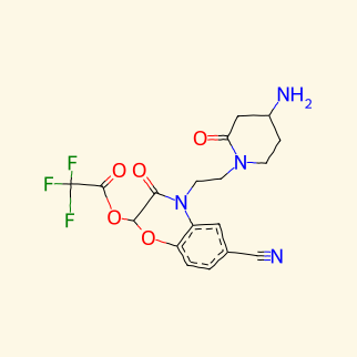 N#Cc1ccc2c(c1)N(CCN1CCC(N)CC1=O)C(=O)C(OC(=O)C(F)(F)F)O2